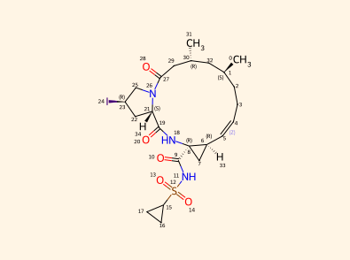 C[C@H]1CC/C=C\[C@H]2C[C@@]2(C(=O)NS(=O)(=O)C2CC2)NC(=O)[C@@H]2C[C@@H](I)CN2C(=O)C[C@H](C)C1